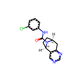 O=C(Nc1cccc(Cl)c1)N1[C@H]2CC[C@@H]1c1cncnc1C2